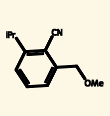 COCc1cccc(C(C)C)c1C#N